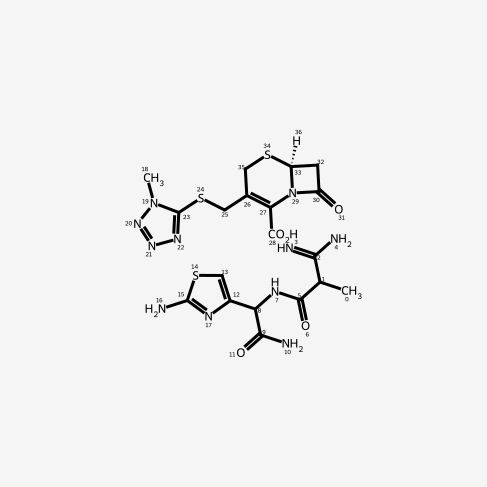 CC(C(=N)N)C(=O)NC(C(N)=O)c1csc(N)n1.Cn1nnnc1SCC1=C(C(=O)O)N2C(=O)C[C@@H]2SC1